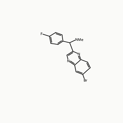 CNC(c1ccc(F)cc1)c1cnc2cc(Br)ccc2n1